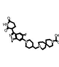 Cn1nc(C2CCC(=O)NC2=O)c2cc(F)c(N3CCC(CN4CCC5(CC4)CCN(C(=O)OC(C)(C)C)CC5)CC3)cc21